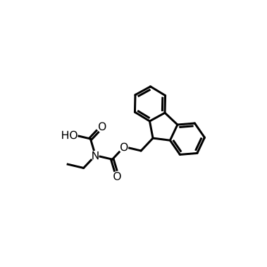 CCN(C(=O)O)C(=O)OCC1c2ccccc2-c2ccccc21